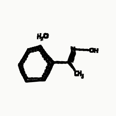 CC(=NO)c1ccccc1.O